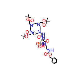 CC(C)(C)OC(=O)CN1CCN(CC(=O)N[C@@H](CS(=O)(=O)O)C(=O)NCCNC(=O)OCc2ccccc2)CCN(CC(=O)OC(C)(C)C)CCN(CC(=O)OC(C)(C)C)CC1